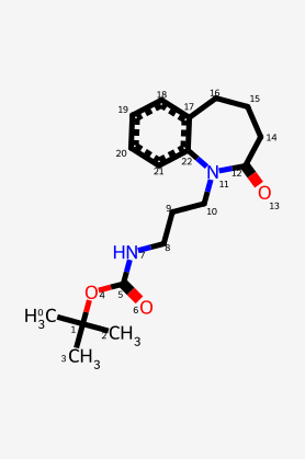 CC(C)(C)OC(=O)NCCCN1C(=O)CCCc2ccccc21